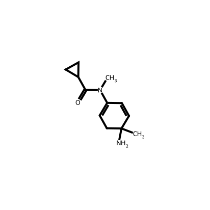 CN(C(=O)C1CC1)C1=CCC(C)(N)C=C1